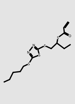 C=CC(=O)SC(CC)CSc1nnc(SCCCCC)s1